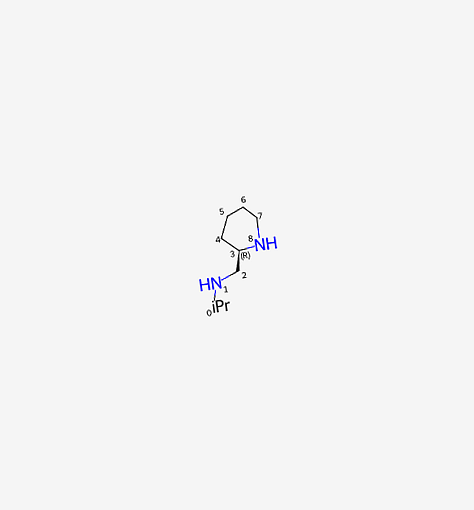 CC(C)NC[C@H]1CCCCN1